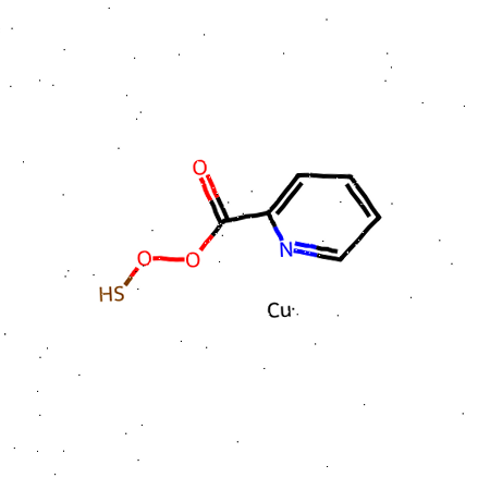 O=C(OOS)c1ccccn1.[Cu]